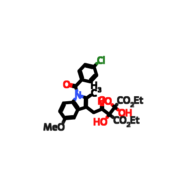 CCOC(=O)C(O)(O)C(O)(C(=O)Cc1c(C)n(C(=O)c2ccc(Cl)cc2)c2ccc(OC)cc12)C(=O)OCC